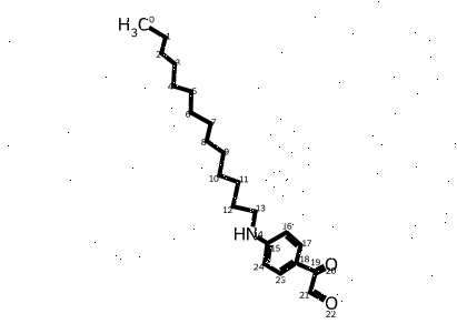 CCCCCCCCCCCCCCNc1ccc(C(=O)C=O)cc1